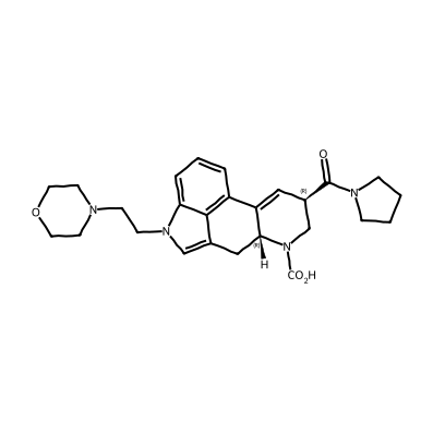 O=C([C@@H]1C=C2c3cccc4c3c(cn4CCN3CCOCC3)C[C@H]2N(C(=O)O)C1)N1CCCC1